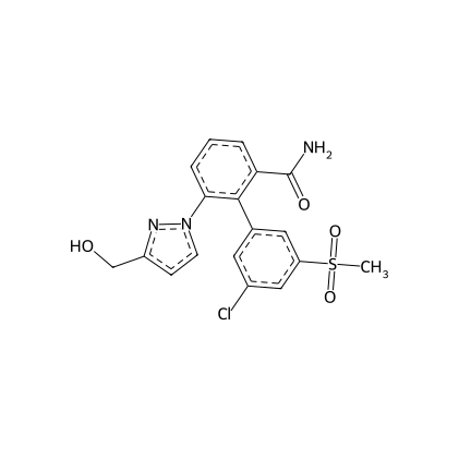 CS(=O)(=O)c1cc(Cl)cc(-c2c(C(N)=O)cccc2-n2ccc(CO)n2)c1